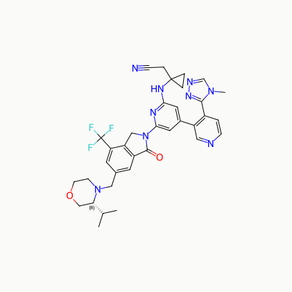 CC(C)[C@@H]1COCCN1Cc1cc2c(c(C(F)(F)F)c1)CN(c1cc(-c3cnccc3-c3nncn3C)cc(NC3(CC#N)CC3)n1)C2=O